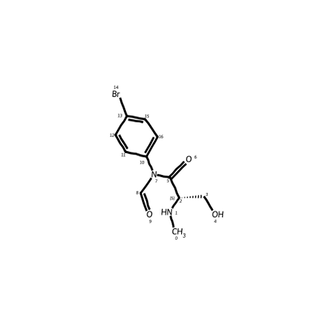 CN[C@@H](CO)C(=O)N(C=O)c1ccc(Br)cc1